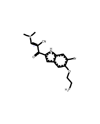 CN(C)/C=C(\C#N)C(=O)c1cc2cc(OCCP)c(Br)cc2[nH]1